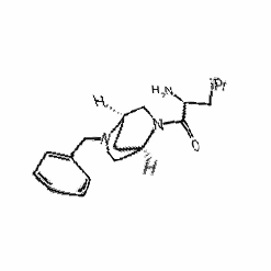 CC(C)C[C@H](N)C(=O)N1C[C@H]2C[C@@H]1CN2Cc1ccccc1